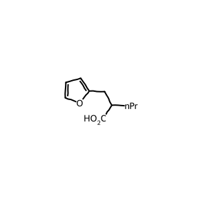 CCCC(Cc1ccco1)C(=O)O